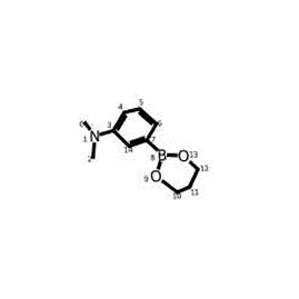 CN(C)c1cccc(B2OCCCO2)c1